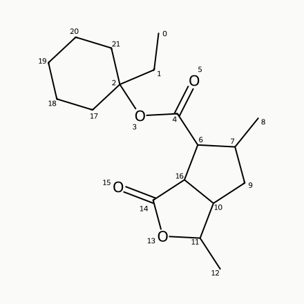 CCC1(OC(=O)C2C(C)CC3C(C)OC(=O)C32)CCCCC1